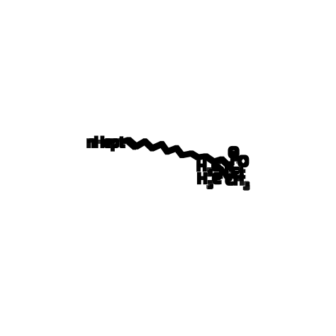 CCCCCCCC=CCCCCCCCCCCCC(CC)(P(=O)=O)[N+](C)(C)C